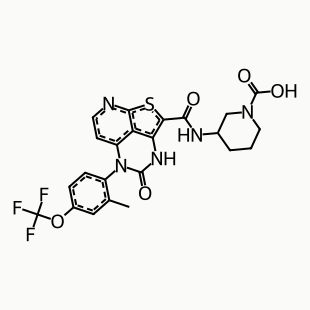 Cc1cc(OC(F)(F)F)ccc1N1C(=O)Nc2c(C(=O)NC3CCCN(C(=O)O)C3)sc3nccc1c23